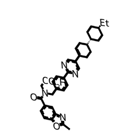 CC[C@H]1CC[C@H](C2CC=C(c3cnc(-c4ccc(CN(CC(=O)O)C(=O)c5ccc6oc(C)nc6c5)cc4)nc3)CC2)CC1